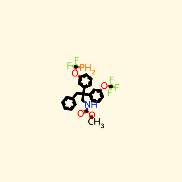 COC(=O)NCC(Cc1ccccc1)(c1cccc(OC(F)(F)F)c1)c1cccc(OC(F)(F)P)c1